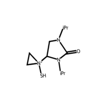 CC(C)N1CC([N+]2(S)CC2)N(C(C)C)C1=O